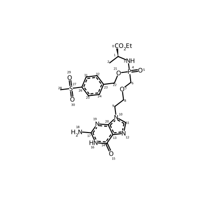 CCOC(=O)[C@H](C)NP(=O)(COCCn1cnc2c(=O)[nH]c(N)nc21)OCc1ccc(S(C)(=O)=O)cc1